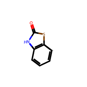 O=c1[nH]c2ccc[c]c2s1